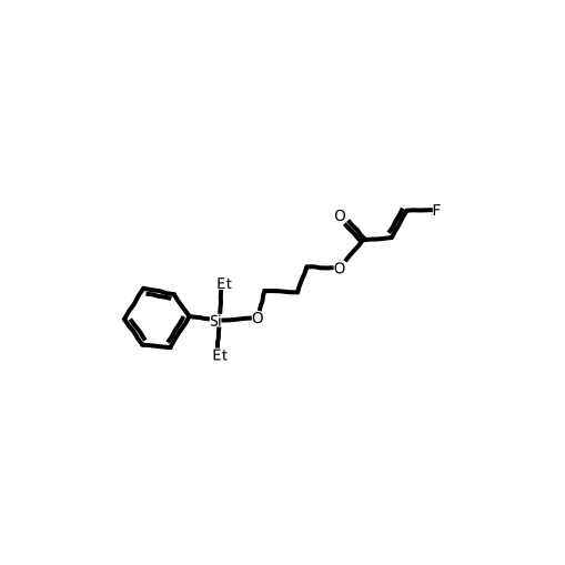 CC[Si](CC)(OCCCOC(=O)C=CF)c1ccccc1